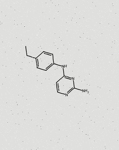 CCc1ccc(Nc2ccnc(N)n2)cc1